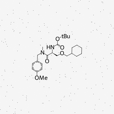 COc1ccc(CN(C)C(=O)[C@H](COCC2CCCCC2)NC(=O)OC(C)(C)C)cc1